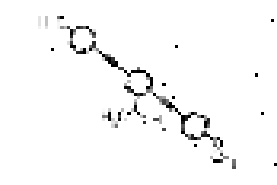 COc1ccc(C#Cc2ccc(C#Cc3ccc(C)cc3)cc2C(C)C)cc1